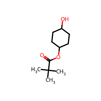 CC(C)(C)C(=O)OC1CCC(O)CC1